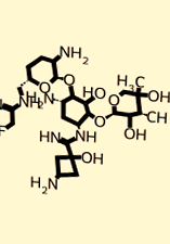 C[C@@H]1C(O)[C@@H](OC2C(O)C(O[C@H]3O[C@H](CNC(=N)CF)CCC3N)[C@@H](N)C[C@H]2NC(=N)C2(O)CC(N)C2)OCC1(C)O